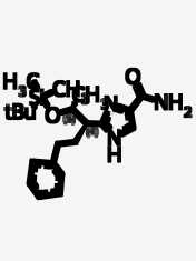 C[C@H](O[Si](C)(C)C(C)(C)C)[C@H](CCc1ccccc1)c1nc(C(N)=O)c[nH]1